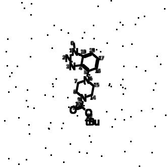 Cn1nnc2c(N3CCN(C(=O)OC(C)(C)C)CC3)cccc21